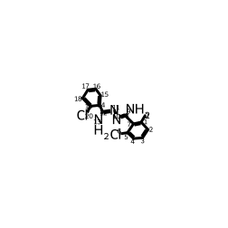 Cc1cccc(Cl)c1/C(N)=N/N=C(\N)c1ccccc1Cl